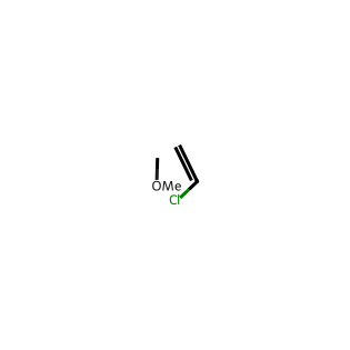 C=CCl.COC